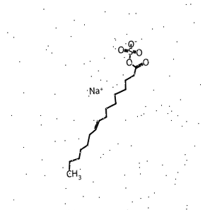 CCCCCCC=CCCCCCCCC(=O)OS(=O)(=O)[O-].[Na+]